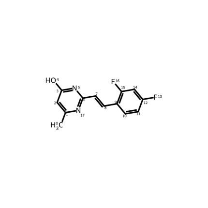 Cc1cc(O)nc(C=Cc2ccc(F)cc2F)n1